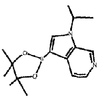 CC(C)n1cc(B2OC(C)(C)C(C)(C)O2)c2ccncc21